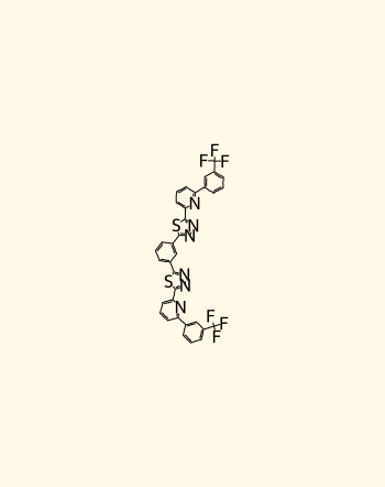 FC(F)(F)c1cccc(-c2cccc(-c3nnc(-c4cccc(-c5nnc(-c6cccc(-c7cccc(C(F)(F)F)c7)n6)s5)c4)s3)n2)c1